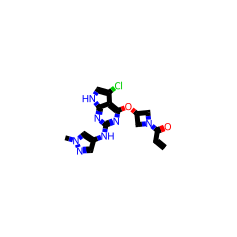 C=CC(=O)N1CC(Oc2nc(Nc3cnn(C)c3)nc3[nH]cc(Cl)c23)C1